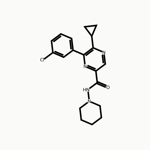 O=C(NN1CCCCC1)c1cnc(C2CC2)c(-c2cccc(Cl)c2)n1